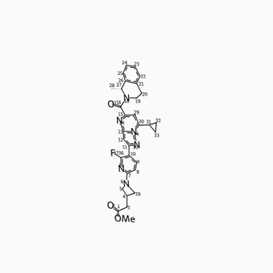 COC(=O)CC1CN(c2ccc(-c3cc4nc(C(=O)N5CCc6ccccc6[C@H]5C)cc(C5CC5)n4n3)c(F)n2)C1